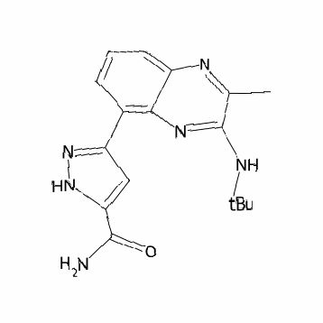 Cc1nc2cccc(-c3cc(C(N)=O)[nH]n3)c2nc1NC(C)(C)C